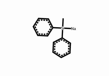 C[Si]([Na])(c1ccccc1)c1ccccc1